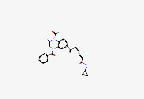 C=C(/C=C\C=C\C(=O)NC1CC1)c1ccc2c(c1)N(C(=O)c1ccccc1)CC(C)N2C(C)=O